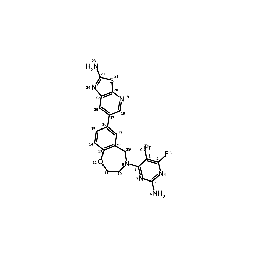 CC(C)c1c(F)nc(N)nc1N1CCOc2ccc(-c3cnc4sc(N)nc4c3)cc2C1